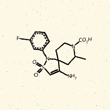 CC1CC2(CCN1C(=O)O)C(N)=CS(=O)(=O)N2c1cccc(F)c1